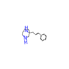 C(=C\c1ccccc1)/CC12CCC(CNC1)N2